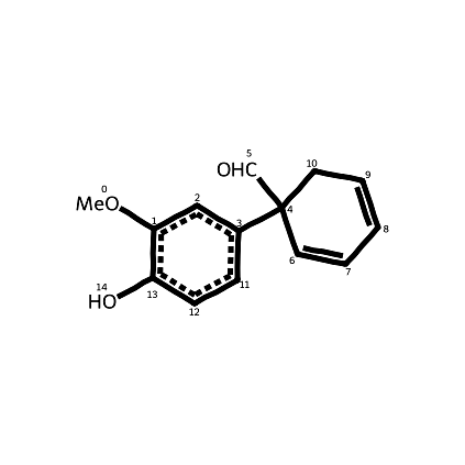 COc1cc(C2(C=O)C=CC=CC2)ccc1O